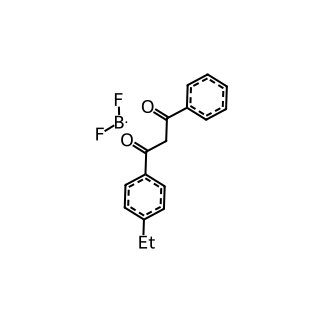 CCc1ccc(C(=O)CC(=O)c2ccccc2)cc1.F[B]F